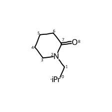 C[C](C)CN1CCCCC1=O